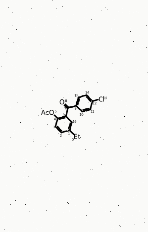 CCc1ccc(OC(C)=O)c(C(=O)c2ccc(Cl)cc2)c1